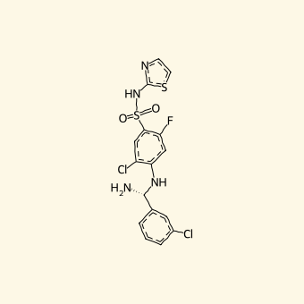 N[C@H](Nc1cc(F)c(S(=O)(=O)Nc2nccs2)cc1Cl)c1cccc(Cl)c1